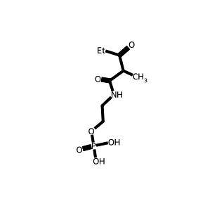 CCC(=O)C(C)C(=O)NCCOP(=O)(O)O